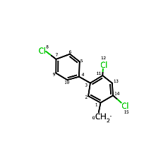 [CH2]c1cc(-c2ccc(Cl)cc2)c(Cl)cc1Cl